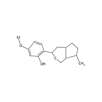 CCCc1cc(OCC)ccc1C1CCC2C(C)CCC2C1